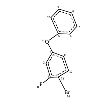 Fc1cc(Oc2ccccc2)ccc1Br